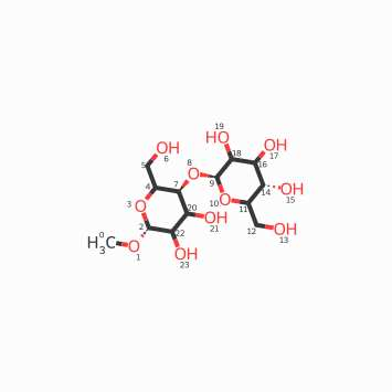 CO[C@@H]1OC(CO)[C@@H](O[C@@H]2OC(CO)[C@@H](O)C(O)C2O)C(O)C1O